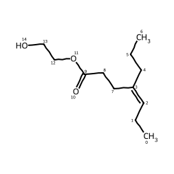 CCC=C(CCC)CCC(=O)OCCO